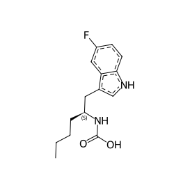 CCCC[C@@H](Cc1c[nH]c2ccc(F)cc12)NC(=O)O